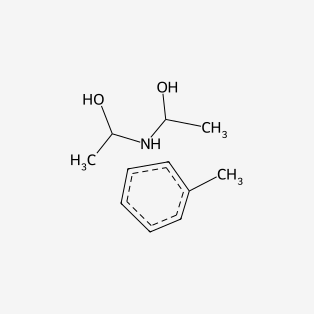 CC(O)NC(C)O.Cc1ccccc1